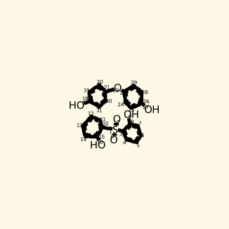 O=S(=O)(c1ccccc1O)c1ccccc1O.Oc1ccc(Oc2ccc(O)cc2)cc1